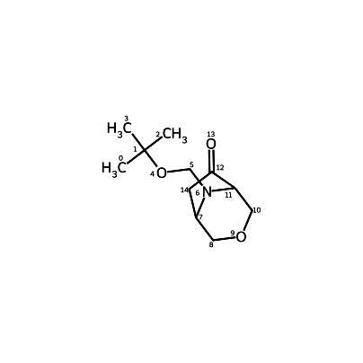 CC(C)(C)OCN1C2COCC1C(=O)C2